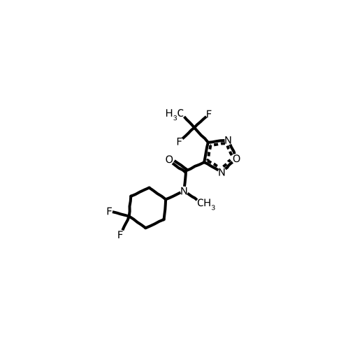 CN(C(=O)c1nonc1C(C)(F)F)C1CCC(F)(F)CC1